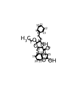 CCOC(=O)[C@@H](CCc1ccccc1)NC1CSc2ccccc2N(CC(=O)O)C1=O